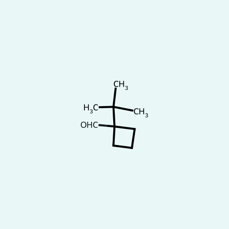 CC(C)(C)C1(C=O)CCC1